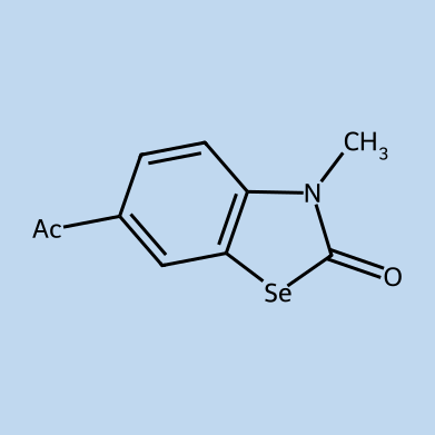 CC(=O)c1ccc2c(c1)[se]c(=O)n2C